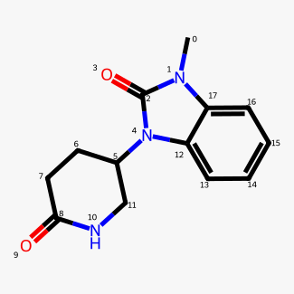 Cn1c(=O)n(C2CCC(=O)NC2)c2ccccc21